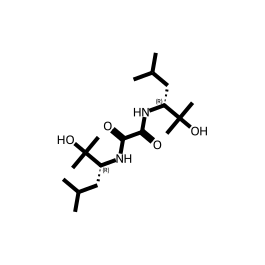 CC(C)C[C@@H](NC(=O)C(=O)N[C@H](CC(C)C)C(C)(C)O)C(C)(C)O